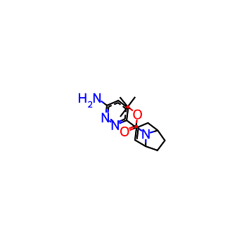 CC(C)(C)OC(=O)N1C2C=C(c3ccc(N)nn3)CC1CC2